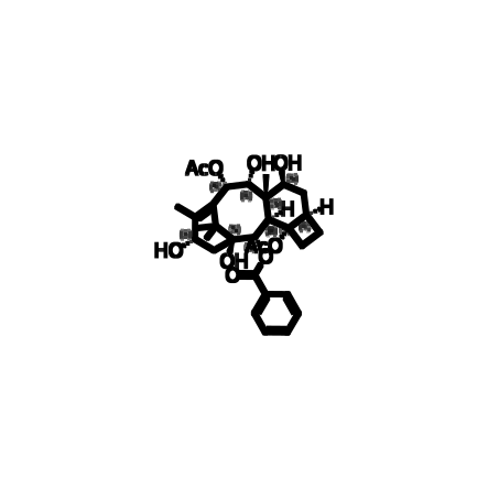 CC(=O)O[C@H]1C2=C(C)[C@@H](O)C[C@@](O)([C@@H](OC(=O)c3ccccc3)[C@@H]3[C@]4(OC(C)=O)CC[C@@H]4C[C@H](O)[C@@]3(C)[C@H]1O)C2(C)C